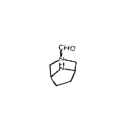 O=CN1CC2CCC(C1)N2